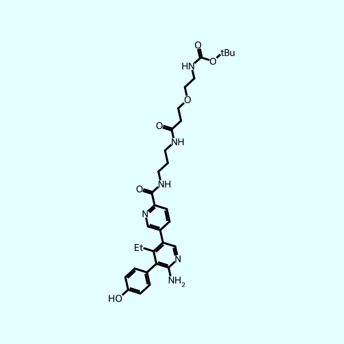 CCc1c(-c2ccc(C(=O)NCCCNC(=O)CCOCCNC(=O)OC(C)(C)C)nc2)cnc(N)c1-c1ccc(O)cc1